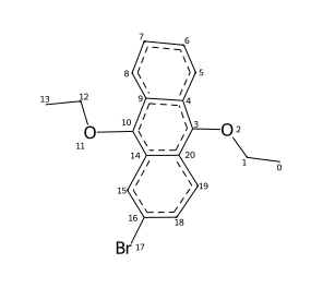 CCOc1c2ccccc2c(OCC)c2cc(Br)ccc12